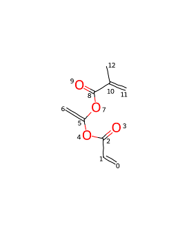 C=CC(=O)OC(=C)OC(=O)C(=C)C